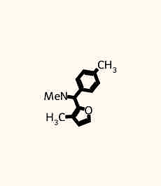 CNC(c1ccc(C)cc1)c1occc1C